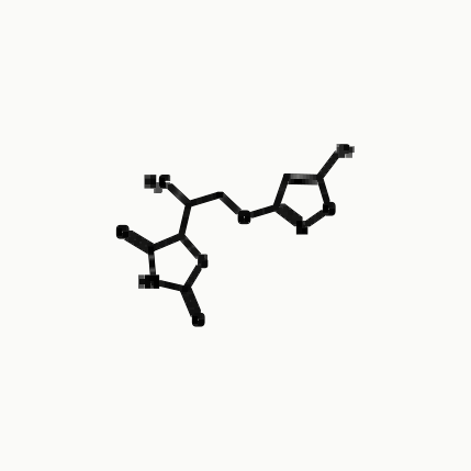 CC(C)c1cc(OCC(C)C2SC(=O)NC2=O)no1